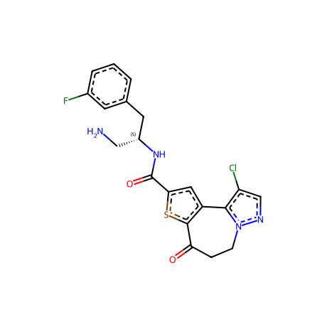 NC[C@H](Cc1cccc(F)c1)NC(=O)c1cc2c(s1)C(=O)CCn1ncc(Cl)c1-2